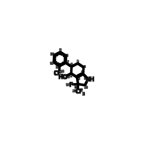 OC1C2=C(CCC1c1ccccc1C(F)(F)F)NCC2(F)C(F)(F)F